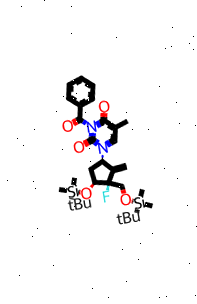 C=C1[C@@H](n2cc(C)c(=O)n(C(=O)c3ccccc3)c2=O)C[C@H](O[Si](C)(C)C(C)(C)C)[C@@]1(F)CO[Si](C)(C)C(C)(C)C